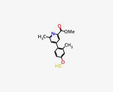 COC(=O)c1cc(-c2ccc(OS)cc2C)cc(C)n1